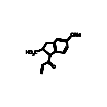 C=CC(=O)N1c2ccc(OC)cc2CC1C(=O)O